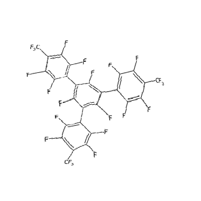 Fc1c(F)c(C(F)(F)F)c(F)c(F)c1-c1c(F)c(-c2c(F)c(F)c(C(F)(F)F)c(F)c2F)c(F)c(-c2c(F)c(F)c(C(F)(F)F)c(F)c2F)c1F